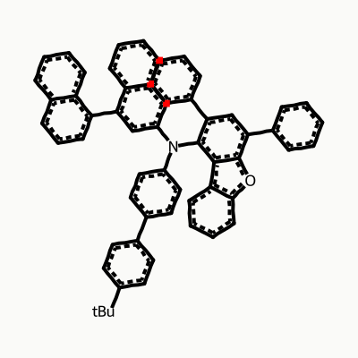 CC(C)(C)c1ccc(-c2ccc(N(c3cc(-c4cccc5ccccc45)c4ccccc4c3)c3c(-c4ccccc4)cc(-c4ccccc4)c4oc5ccccc5c34)cc2)cc1